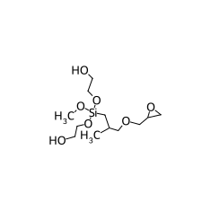 CO[Si](CC(C)COCC1CO1)(OCCO)OCCO